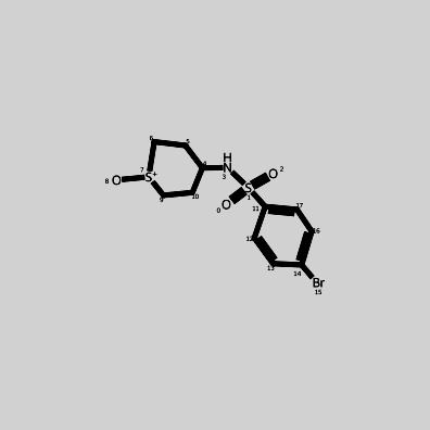 O=S(=O)(NC1CC[S+]([O-])CC1)c1ccc(Br)cc1